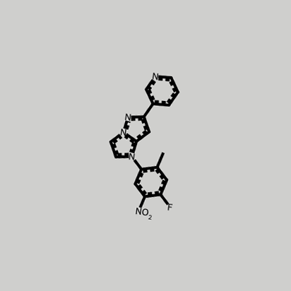 Cc1cc(F)c([N+](=O)[O-])cc1-n1ccn2nc(-c3cccnc3)cc12